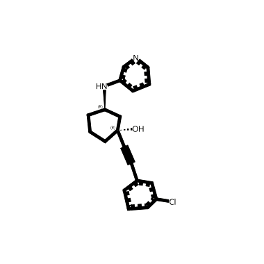 O[C@]1(C#Cc2cccc(Cl)c2)CCC[C@@H](Nc2cccnc2)C1